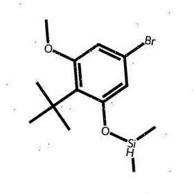 COc1cc(Br)cc(O[SiH](C)C)c1C(C)(C)C